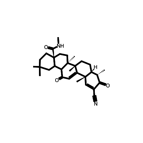 CNC(=O)[C@]12CCC(C)(C)CC1C1C(=O)C=C3[C@@]4(C)C=C(C#N)C(=O)[C@@H](C)[C@@H]4CC[C@@]3(C)[C@]1(C)CC2